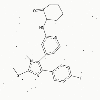 CSc1nc(-c2ccc(F)cc2)c(-c2ccnc(NC3CCCCC3=O)c2)n1C